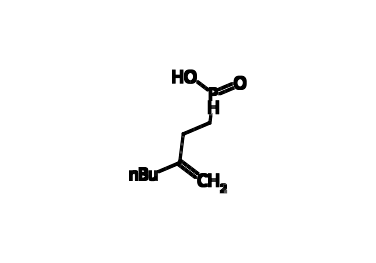 C=C(CCCC)CC[PH](=O)O